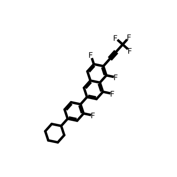 Fc1cc(C2CCCCC2)ccc1-c1cc(F)c2c(F)c(C#CC(F)(F)F)c(F)cc2c1